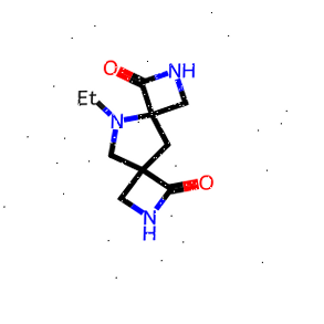 CCN1CC2(CNC2=O)CC12CNC2=O